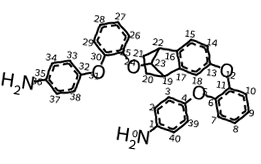 Nc1ccc(Oc2ccccc2Oc2ccc3c(c2)C2CCC3C2Oc2ccccc2Oc2ccc(N)cc2)cc1